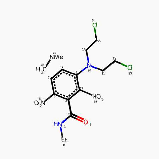 CCNC(=O)c1c([N+](=O)[O-])ccc(N(CCCl)CCCl)c1[N+](=O)[O-].CNC